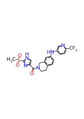 CS(=O)(=O)c1nc(C(=O)N2CCc3ccc(Nc4ccc(C(F)(F)F)nc4)cc3C2)c[nH]1